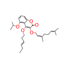 CCC=CCCOc1c(OCC=C(C)CCC=C(C)C)c(=O)oc2cccc(OC(C)C)c12